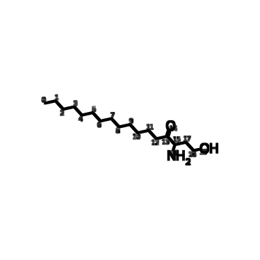 CCCCCCCCCCCCCC(=O)C(N)CCO